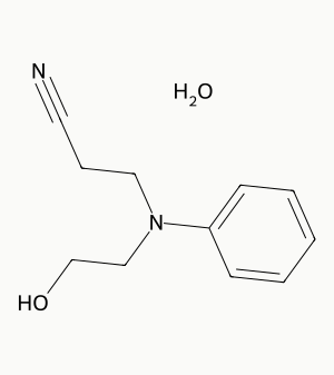 N#CCCN(CCO)c1ccccc1.O